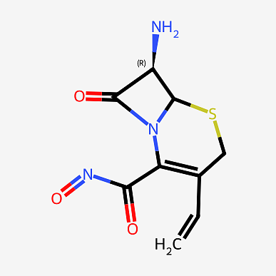 C=CC1=C(C(=O)N=O)N2C(=O)[C@@H](N)C2SC1